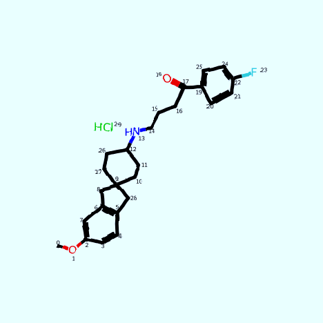 COc1ccc2c(c1)CC1(CCC(NCCCC(=O)c3ccc(F)cc3)CC1)C2.Cl